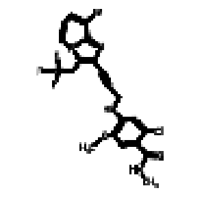 CNC(=O)c1cc(OC)c(NCC#Cc2nc3c(Br)cccn3c2CC(F)(F)F)cc1Cl